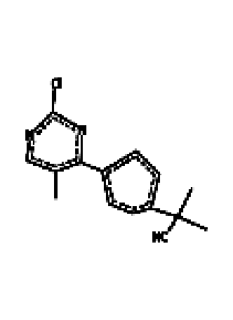 Cc1cnc(Cl)nc1-c1ccc(C(C)(C)C#N)cc1